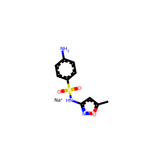 Cc1cc(NS(=O)(=O)c2ccc(N)cc2)no1.[Na+]